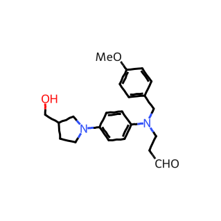 COc1ccc(CN(CCC=O)c2ccc(N3CCC(CO)C3)cc2)cc1